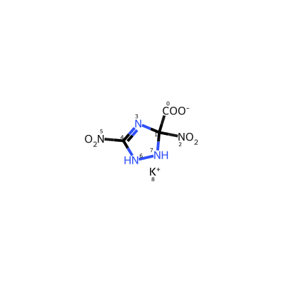 O=C([O-])C1([N+](=O)[O-])N=C([N+](=O)[O-])NN1.[K+]